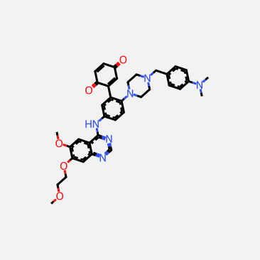 COCCOc1cc2ncnc(Nc3ccc(N4CCN(Cc5ccc(N(C)C)cc5)CC4)c(C4=CC(=O)C=CC4=O)c3)c2cc1OC